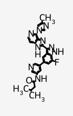 Cc1cn(-c2nccc3[nH]c(-c4n[nH]c5c(F)cc(-c6cncc(NC(=O)CC(C)C)c6)cc45)nc23)cn1